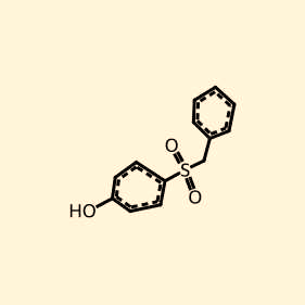 O=S(=O)(Cc1ccccc1)c1ccc(O)cc1